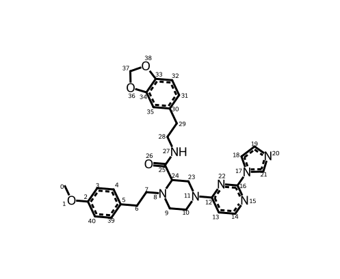 COc1ccc(CCN2CCN(c3ccnc(-n4ccnc4)n3)CC2C(=O)NCCc2ccc3c(c2)OCO3)cc1